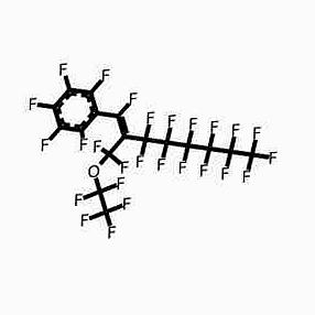 FC(=C(C(F)(F)OC(F)(F)C(F)(F)F)C(F)(F)C(F)(F)C(F)(F)C(F)(F)C(F)(F)C(F)(F)F)c1c(F)c(F)c(F)c(F)c1F